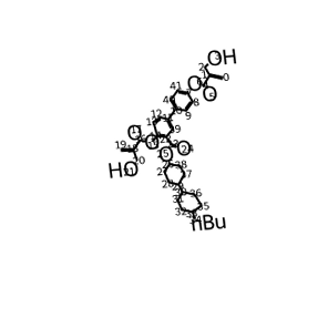 C=C(CO)C(=O)Oc1ccc(-c2ccc(OC(=O)C(=C)CO)c(C(=O)OC3CCC(C4CCC(CCCC)CC4)CC3)c2)cc1